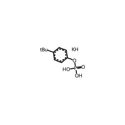 CC(C)(C)c1ccc(OP(=O)(O)O)cc1.[KH]